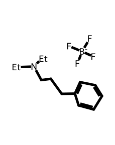 CCN(CC)CCCc1ccccc1.F[B-](F)(F)F